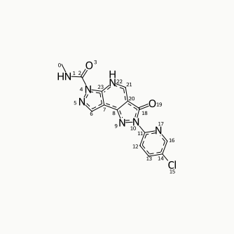 CNC(=O)n1ncc2c3nn(-c4ccc(Cl)cn4)c(=O)c-3c[nH]c21